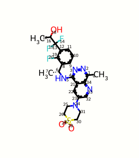 Cc1nnc(N[C@H](C)c2cccc(C(F)(F)C(C)O)c2F)c2cc(N3CCS(=O)(=O)CC3)cnc12